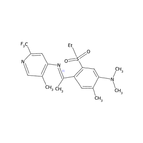 CCS(=O)(=O)c1cc(N(C)C)c(C)cc1/C(C)=N/c1cc(C(F)(F)F)ncc1C